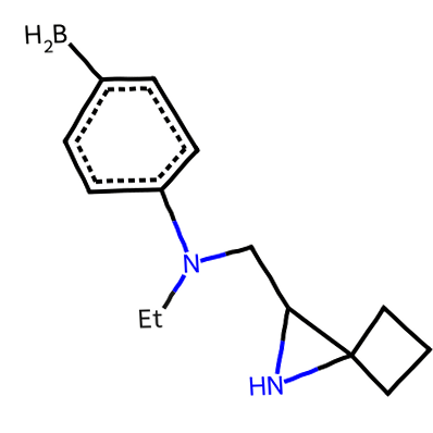 Bc1ccc(N(CC)CC2NC23CCC3)cc1